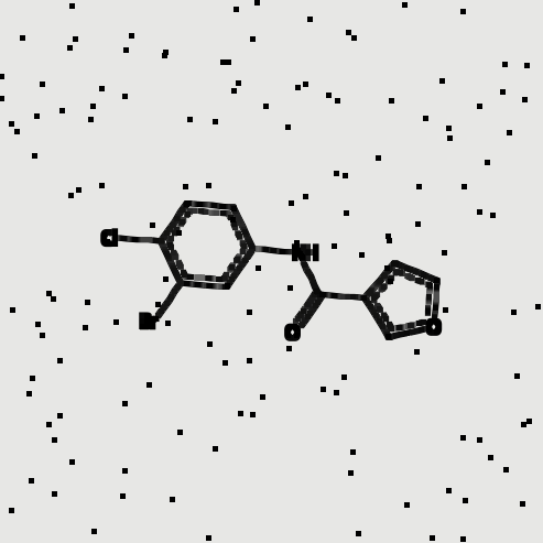 O=C(Nc1ccc(Cl)c(Br)c1)c1ccoc1